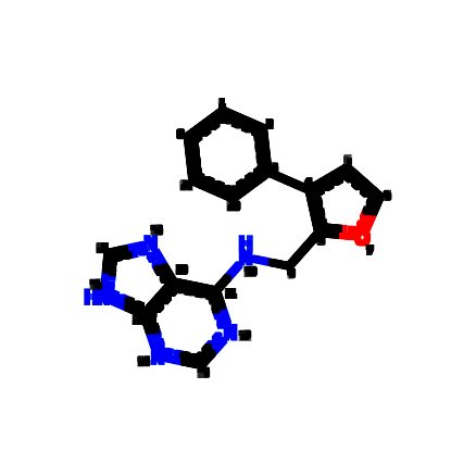 c1ccc(-c2ccoc2CNc2ncnc3[nH]cnc23)cc1